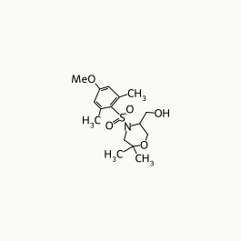 COc1cc(C)c(S(=O)(=O)N2CC(C)(C)OCC2CO)c(C)c1